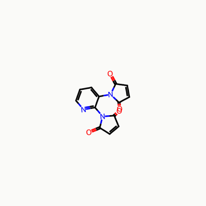 O=C1C=CC(=O)N1c1cccnc1N1C(=O)C=CC1=O